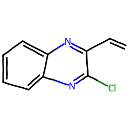 C=Cc1nc2ccccc2nc1Cl